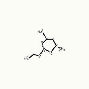 C[C@H]1C[C@H](C)OP(OCC(C)(C)C)O1